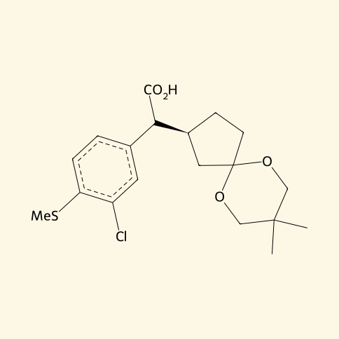 CSc1ccc(C(C(=O)O)[C@H]2CCC3(C2)OCC(C)(C)CO3)cc1Cl